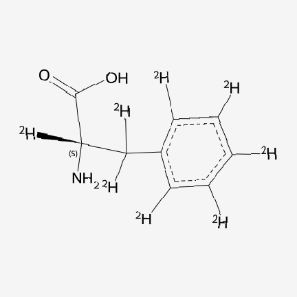 [2H]c1c([2H])c([2H])c(C([2H])([2H])[C@]([2H])(N)C(=O)O)c([2H])c1[2H]